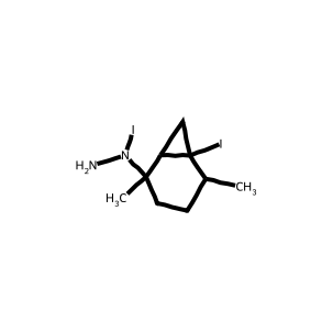 CC1CCC(C)(N(N)I)C2CC12I